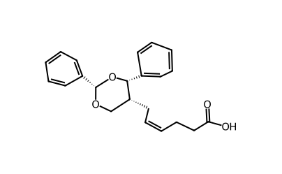 O=C(O)CC/C=C\C[C@@H]1CO[C@H](c2ccccc2)O[C@@H]1c1ccccc1